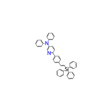 C(=C\[Si](c1ccccc1)(c1ccccc1)c1ccccc1)/c1ccc(-c2ccc(N(c3ccccc3)c3ccccc3)cn2)cc1